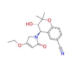 CCOC1=CC(=O)N([C@@H]2c3cc(C#N)ccc3OC(C)(C)[C@H]2O)C1